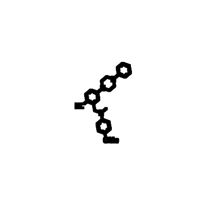 COc1ccc(N(C)Cc2cc(N3CCN(c4ccccc4)CC3)ccc2C#N)cc1